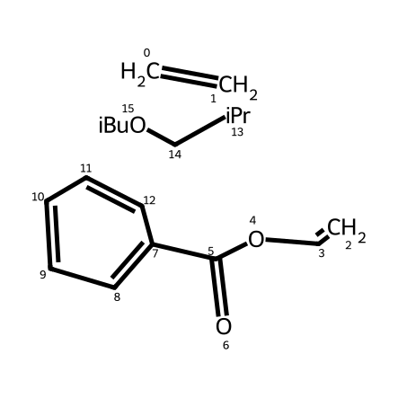 C=C.C=COC(=O)c1ccccc1.CC(C)COCC(C)C